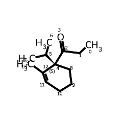 CCC(=O)[C@]1(C(C)C)CCCC=C1C